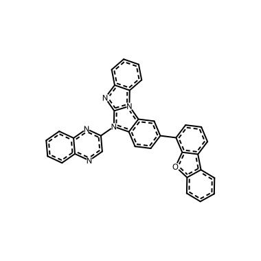 c1ccc2nc(-n3c4ccc(-c5cccc6c5oc5ccccc56)cc4n4c5ccccc5nc34)cnc2c1